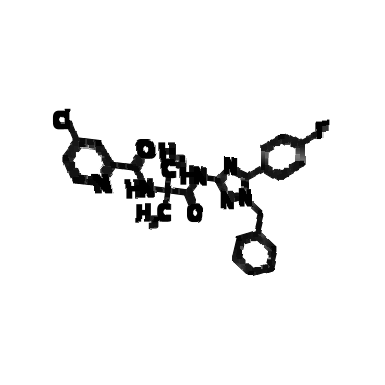 CC(C)(NC(=O)c1cc(Cl)ccn1)C(=O)Nc1nc(-c2ccc(F)cc2)n(Cc2ccccc2)n1